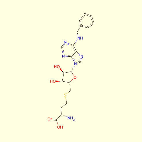 N[C@@H](CCSC[C@H]1O[C@@H](n2cnc3c(NCc4ccccc4)ncnc32)[C@H](O)[C@@H]1O)C(=O)O